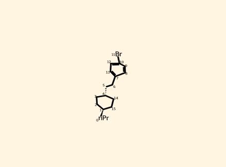 CCC[C@H]1CC[C@H](CCc2ccc(Br)cc2)CC1